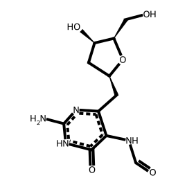 Nc1nc(C[C@H]2C[C@@H](O)[C@@H](CO)O2)c(NC=O)c(=O)[nH]1